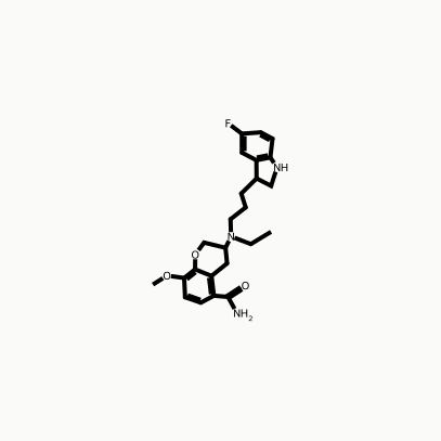 CCN(CCCC1CNc2ccc(F)cc21)C1COc2c(OC)ccc(C(N)=O)c2C1